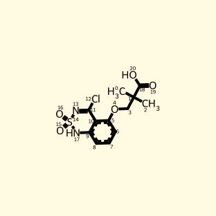 CC(C)(COc1cccc2c1C(Cl)=NS(=O)(=O)N2)C(=O)O